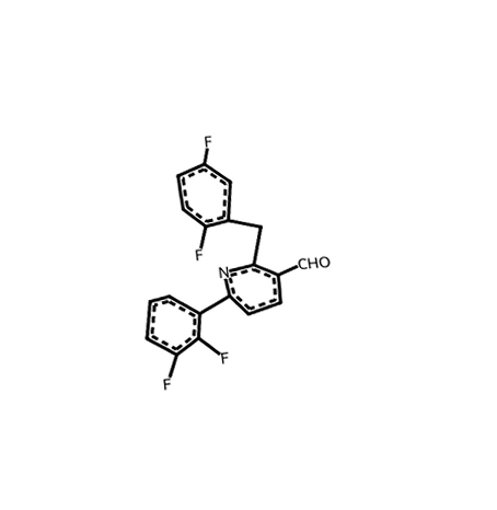 O=Cc1ccc(-c2cccc(F)c2F)nc1Cc1cc(F)ccc1F